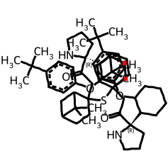 CC(C)(C)c1ccc(OC2CCCCC2[C@@]2(C(=O)CC3(SC4(CC(=O)[C@]5(C6CCCCC6Oc6ccc(C(C)(C)C)cc6)CCCN5)CCC5CC4C5(C)C)CCC4CC3C4(C)C)CCCN2)cc1